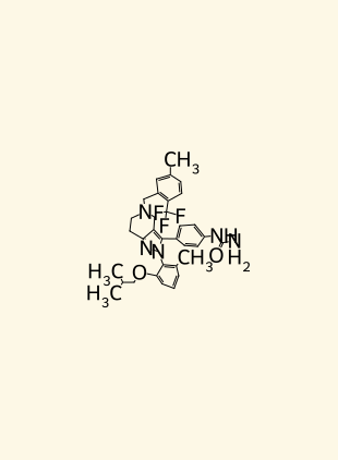 Cc1ccc(C(F)(F)F)c(CN2CCc3nn(-c4c(C)cccc4OCC(C)C)c(-c4ccc(NC(N)=O)cc4)c3C2)c1